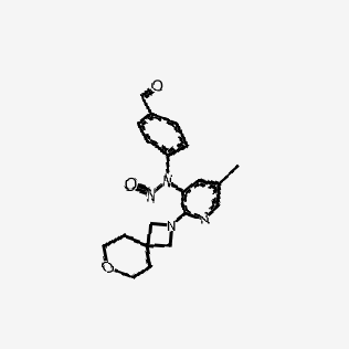 Cc1cnc(N2CC3(CCOCC3)C2)c(N(N=O)c2ccc(C=O)cc2)c1